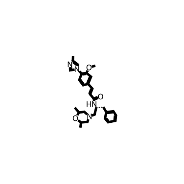 COc1cc(C=CC(=O)N[C@H](Cc2ccccc2)CN2CC(C)OC(C)C2)ccc1-n1cnc(C)c1